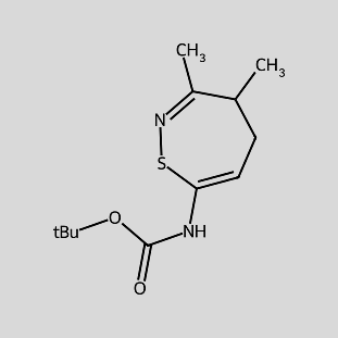 CC1=NSC(NC(=O)OC(C)(C)C)=CCC1C